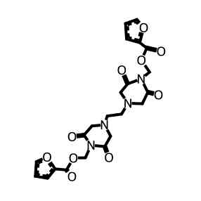 O=C(OCN1C(=O)CN(CCN2CC(=O)N(COC(=O)c3ccco3)C(=O)C2)CC1=O)c1ccco1